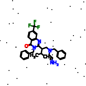 CC(C)C(CN(CCN)Cc1ccccc1)c1nc2cc(C(F)(F)F)ccc2c(=O)n1Cc1ccccc1